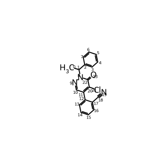 CC(c1ccccc1)n1ncc(-c2ccccc2C#N)c(Cl)c1=O